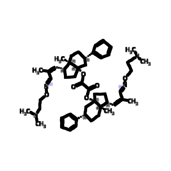 CC(=C[C@H]1CC[C@]2(OC(=O)C(=O)O[C@]34CC[C@H](C=C(C)/C=N/OCCN(C)C)[C@@]3(C)CC[C@H](c3ccccc3)C4)C[C@@H](c3ccccc3)CC[C@]12C)/C=N/OCCN(C)C